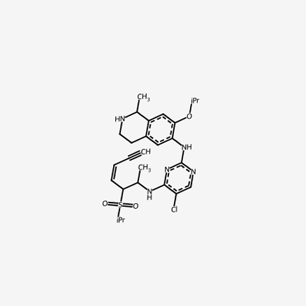 C#C/C=C\C(C(C)Nc1nc(Nc2cc3c(cc2OC(C)C)C(C)NCC3)ncc1Cl)S(=O)(=O)C(C)C